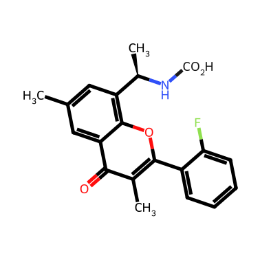 Cc1cc([C@@H](C)NC(=O)O)c2oc(-c3ccccc3F)c(C)c(=O)c2c1